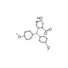 COc1ccc(C(c2ccc(OC)cc2)c2cnccc2C(=O)Cl)cc1.Cl